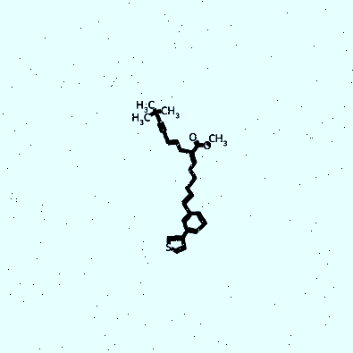 COC(=O)/C(=C/CCC/C=C/c1cccc(-c2ccsc2)c1)C/C=C/C#CC(C)(C)C